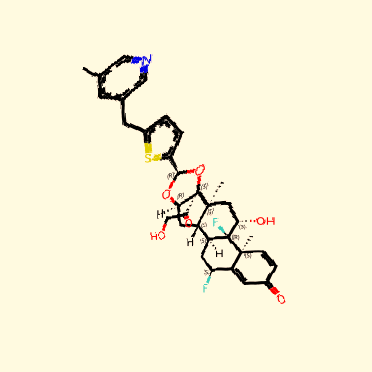 Cc1cncc(Cc2ccc([C@@H]3O[C@@H]4C[C@H]5[C@@H]6C[C@H](F)C7=CC(=O)C=C[C@]7(C)[C@@]6(F)[C@@H](O)C[C@]5(C)[C@]4(C(=O)CO)O3)s2)c1